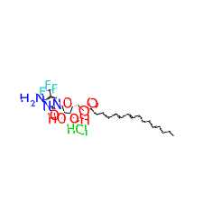 CCCCCCCCCCCCCCCC(=O)OC[C@H]1O[C@@H](n2cc(C(F)(F)F)c(N)nc2=O)[C@@H](O)[C@@H]1O.Cl